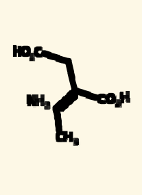 CC=C(CC(=O)O)C(=O)O.N